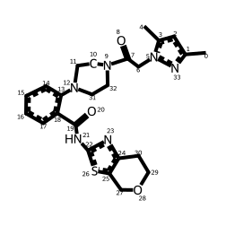 Cc1cc(C)n(CC(=O)N2CCN(c3ccccc3C(=O)Nc3nc4c(s3)COCC4)CC2)n1